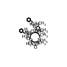 CC[C@H]1OC(=O)[C@H](C)[C@@H](OC(=O)NCc2ccccc2)[C@H](C)[C@@H](O[C@@H]2O[C@H](C)C[C@H](N(C)C)[C@H]2OCOCc2ccccc2)[C@](C)(O)C[C@@H](C)CN(C)[C@H](C)[C@H]2OC(=O)O[C@@]21C